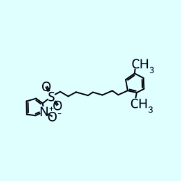 Cc1ccc(C)c(CCCCCCCCS(=O)(=O)c2cccc[n+]2[O-])c1